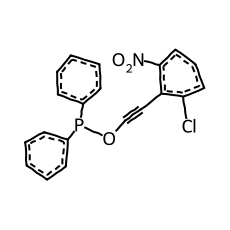 O=[N+]([O-])c1cccc(Cl)c1C#COP(c1ccccc1)c1ccccc1